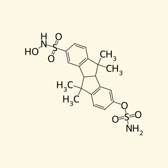 CC1(C)c2ccc(S(=O)(=O)NO)cc2C2C1c1cc(OS(N)(=O)=O)ccc1C2(C)C